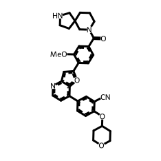 COc1cc(C(=O)N2CCCC3(CCNC3)C2)ccc1-c1cc2nccc(-c3ccc(OC4CCOCC4)c(C#N)c3)c2o1